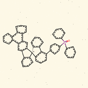 O=P(c1ccccc1)(c1ccccc1)c1ccc(-c2cccc3c2-c2ccccc2[C@@]32c3ccccc3-c3cc4c5ccccc5c5ccccc5c4cc32)cc1